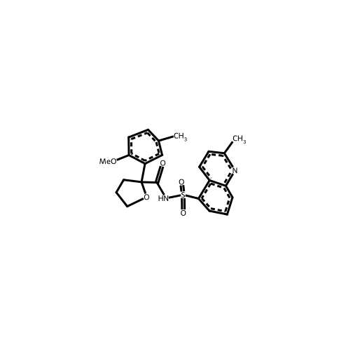 COc1ccc(C)cc1C1(C(=O)NS(=O)(=O)c2cccc3nc(C)ccc23)CCCO1